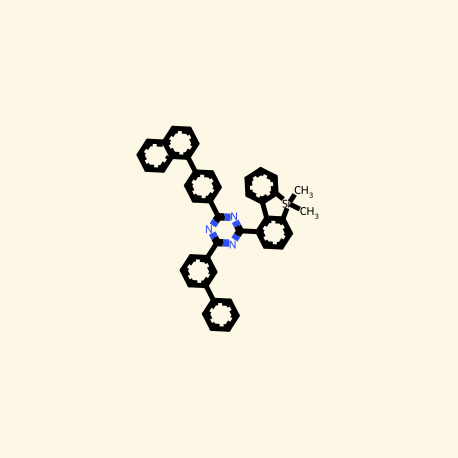 C[Si]1(C)c2ccccc2-c2c(-c3nc(-c4ccc(-c5cccc6ccccc56)cc4)nc(-c4cccc(-c5ccccc5)c4)n3)cccc21